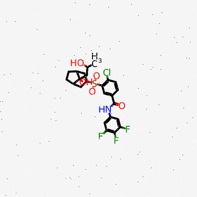 CC(O)CC1(O)C2CCC1CC(S(=O)(=O)c1cc(C(=O)Nc3cc(F)c(F)c(F)c3)ccc1Cl)C2